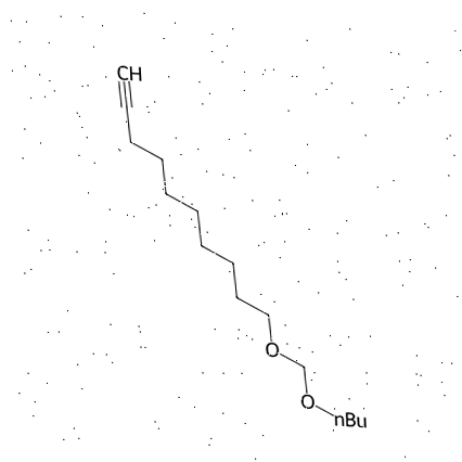 C#CCCCCCCCCOCOCCCC